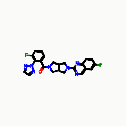 O=C(c1cccc(F)c1-n1nccn1)N1CC2CN(c3ncc4cc(F)ccc4n3)CC2C1